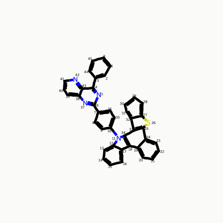 c1ccc(-c2nc(-c3ccc(-n4c5ccccc5c5c6ccccc6c6sc7ccccc7c6c54)cc3)nc3cccnc23)cc1